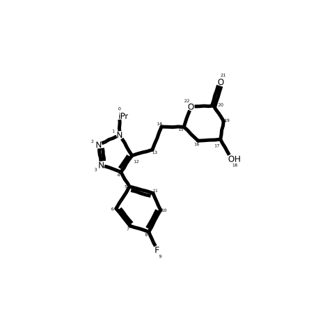 CC(C)n1nnc(-c2ccc(F)cc2)c1CCC1CC(O)CC(=O)O1